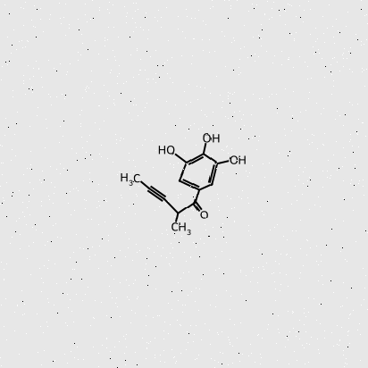 CC#CC(C)C(=O)c1cc(O)c(O)c(O)c1